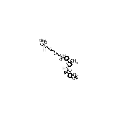 Cc1ccc(NC(=O)C2(c3ccc4c(c3)OC(F)(F)O4)CC2)nc1-c1cccc(C(=O)NCCOCCOCCNC(=O)OC(C)(C)C)c1